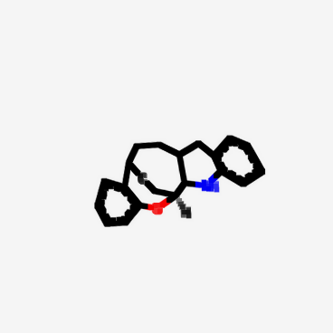 c1ccc2c(c1)CC1CCC3CC[C@H](Oc4ccccc43)C1N2